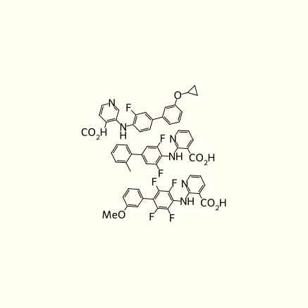 COc1cccc(-c2c(F)c(F)c(Nc3ncccc3C(=O)O)c(F)c2F)c1.Cc1ccccc1-c1cc(F)c(Nc2ncccc2C(=O)O)c(F)c1.O=C(O)c1ccncc1Nc1ccc(-c2cccc(OC3CC3)c2)cc1F